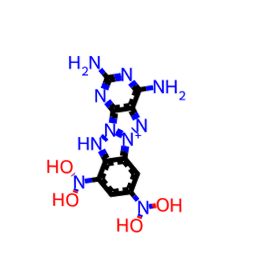 Nc1nc(N)c2n[n+]3c4cc(N(O)O)cc(N(O)O)c4[nH]n3c2n1